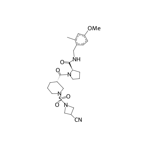 COc1ccc(CNC(=O)[C@H]2CCCN2C(=O)[C@H]2CCCN(S(=O)(=O)N3CC(C#N)C3)C2)c(C)c1